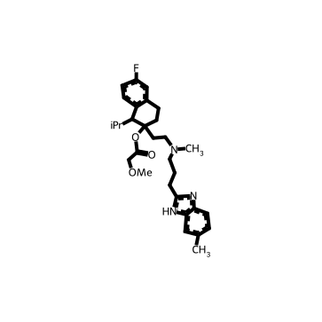 COCC(=O)OC1(CCN(C)CCCc2nc3ccc(C)cc3[nH]2)CCc2cc(F)ccc2C1C(C)C